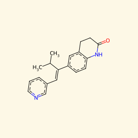 CC(C)C(=Cc1cccnc1)c1ccc2c(c1)CCC(=O)N2